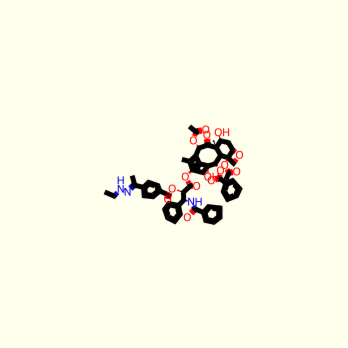 CCN/N=C(\C)c1ccc(C(=O)O[C@H](C(=O)O[C@@H]2C[C@]3(O)[C@H](OC(=O)c4ccccc4)C4[C@@]5(OC(C)=O)COC5C[C@@H](O)[C@]4(C)C(=O)[C@@H](OC(C)=O)C(=C2C)C3(C)C)[C@H](NC(=O)c2ccccc2)c2ccccc2)cc1